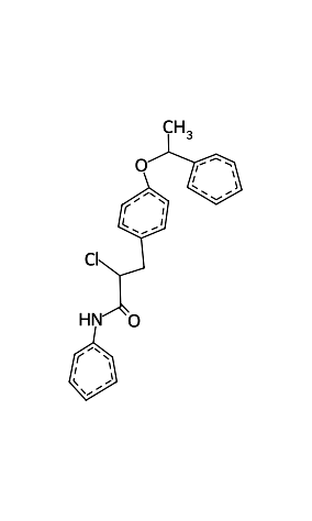 CC(Oc1ccc(CC(Cl)C(=O)Nc2ccccc2)cc1)c1ccccc1